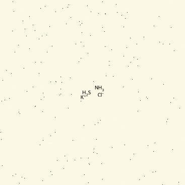 N.S.[Cl-].[K+]